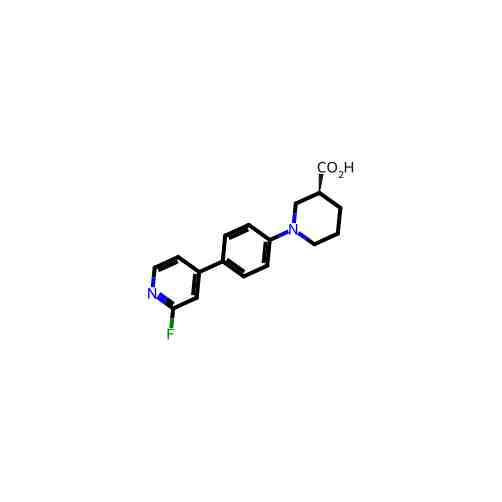 O=C(O)[C@H]1CCCN(c2ccc(-c3ccnc(F)c3)cc2)C1